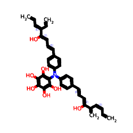 C=C/C=C\C(=C)/C(O)=C/C=C/c1ccc(N(c2ccc(/C=C/C=C(O)/C(C=C)=C/C=C)cc2)c2c(O)c(O)c(O)c(O)c2O)cc1